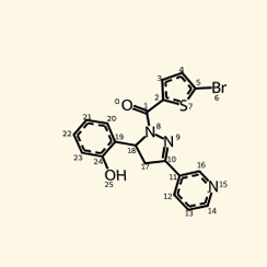 O=C(c1ccc(Br)s1)N1N=C(c2cccnc2)CC1c1ccccc1O